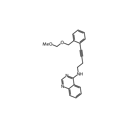 COCOCc1ccccc1C#CCCNc1ncnc2ccccc12